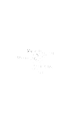 COOCC(S)CC(COCC(COC(=O)CCS)(CC(S)COOC)CC(S)COOC)(COC(=O)CCS)COC(=O)CCS